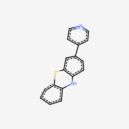 c1ccc2c(c1)Nc1ccc(-c3ccncc3)cc1S2